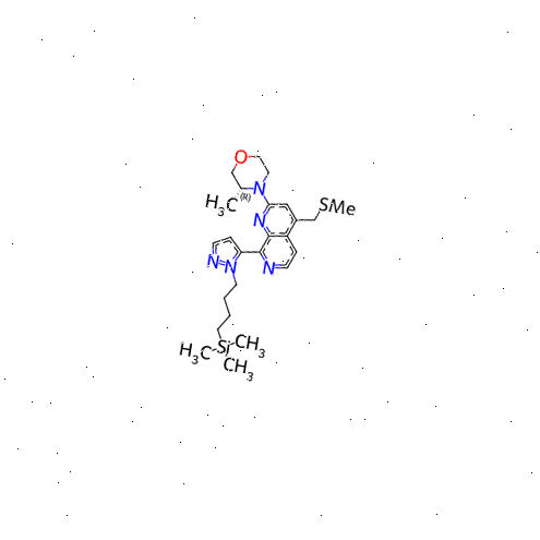 CSCc1cc(N2CCOC[C@H]2C)nc2c(-c3ccnn3CCCC[Si](C)(C)C)nccc12